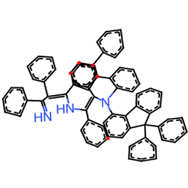 N=C(/C(=C1\NC(c2ccccc2)=C(N(c2ccccc2-c2ccccc2-c2ccccc2)c2cccc3c2-c2ccccc2C3(c2ccccc2)c2ccccc2)c2ccccc21)c1ccccc1)c1ccccc1